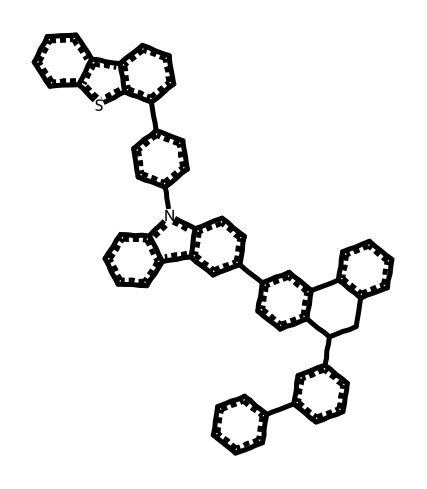 c1ccc(-c2cccc(C3Cc4ccccc4-c4cc(-c5ccc6c(c5)c5ccccc5n6-c5ccc(-c6cccc7c6sc6ccccc67)cc5)ccc43)c2)cc1